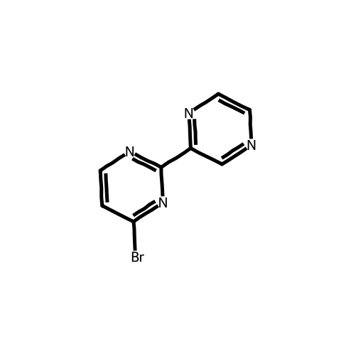 Brc1ccnc(-c2cnccn2)n1